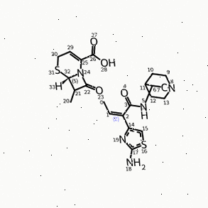 C/C=C(\C(=O)NC1CN2CCC1CC2)c1csc(N)n1.CC1C(=O)N2C(C(=O)O)=CCS[C@@H]12